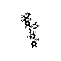 Cc1ccc(Nc2cc(=O)n(CCC[C@H](c3cc4[nH]c(C5CC5)c(C(=O)O)c(=O)c4cc3F)N3CCNC(C)C3)c(=O)[nH]2)cc1C